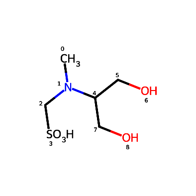 CN(CS(=O)(=O)O)C(CO)CO